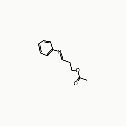 CC(=O)OCCC=Nc1ccccc1